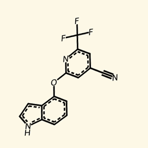 N#Cc1cc(Oc2cccc3[nH]ccc23)nc(C(F)(F)F)c1